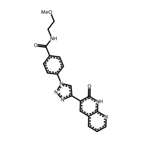 COCCNC(=O)c1ccc(-n2cc(-c3cc4cccnc4[nH]c3=O)nn2)cc1